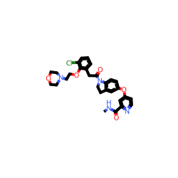 CNC(=O)c1cc(Oc2ccc3c(c2)CCN3C(=O)Cc2cccc(Cl)c2OCCN2CCOCC2)ccn1